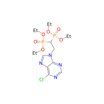 CCOP(=O)(OCC)C(Cn1cnc2c(Cl)ncnc21)P(=O)(OCC)OCC